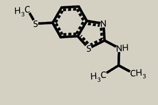 CSc1ccc2nc(NC(C)C)sc2c1